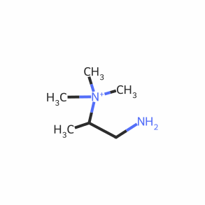 CC(CN)[N+](C)(C)C